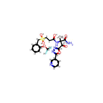 CC(NC(=O)[CH]CS(=O)(=O)Cc1ccccc1OC(F)F)(C(N)=O)C(=O)c1nnc(-c2cccnc2)o1